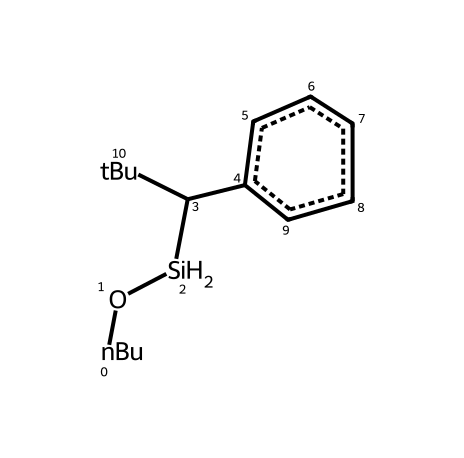 CCCCO[SiH2]C(c1ccccc1)C(C)(C)C